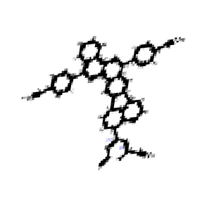 C=C/C=C(\C=C(/C)C#N)c1ccc2c3c(cccc13)-c1cc3c(-c4ccc(C#N)cc4)cc4c5ccccc5c(-c5ccc(C#N)cc5)cc4c3cc1-2